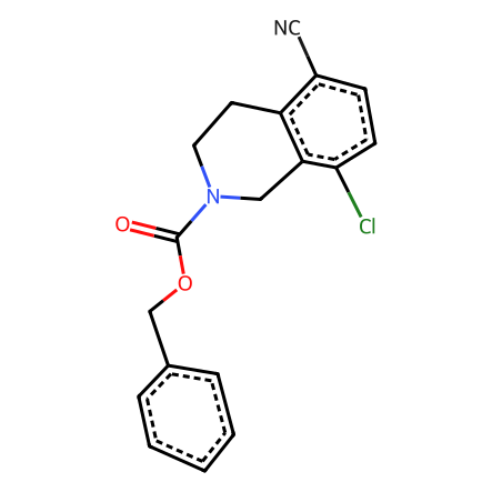 N#Cc1ccc(Cl)c2c1CCN(C(=O)OCc1ccccc1)C2